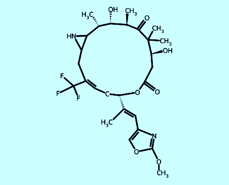 COc1nc(/C=C(\C)[C@@H]2C/C=C(/C(F)(F)F)CC3NC3[C@H](C)[C@H](O)[C@@H](C)C(=O)C(C)(C)[C@@H](O)CC(=O)O2)co1